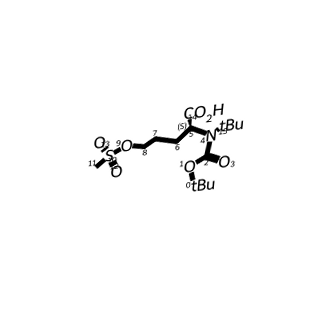 CC(C)(C)OC(=O)N([C@@H](CCCOS(C)(=O)=O)C(=O)O)C(C)(C)C